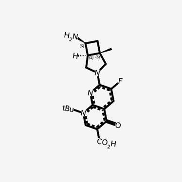 CC(C)(C)n1cc(C(=O)O)c(=O)c2cc(F)c(N3C[C@H]4[C@@H](N)C[C@]4(C)C3)nc21